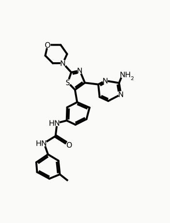 Cc1cccc(NC(=O)Nc2cccc(-c3sc(N4CCOCC4)nc3-c3ccnc(N)n3)c2)c1